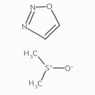 C[S+](C)[O-].c1conn1